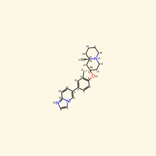 c1cn2cc(-c3ccc4c(c3)C[C@]3(CCN5CCCC[C@H]5C3)O4)ccc2n1